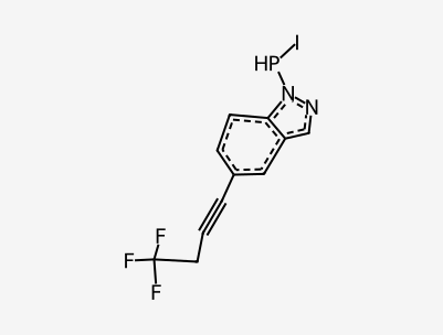 FC(F)(F)CC#Cc1ccc2c(cnn2PI)c1